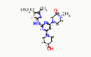 CCOC(=O)c1sc(Nc2nc(N3CCC(O)CC3)cc(N3CCN(C)C(=O)C3)n2)nc1C